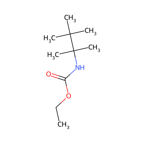 CCOC(=O)NC(C)(C)C(C)(C)C